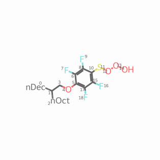 CCCCCCCCCCC(CCCCCCCC)COc1c(F)c(F)c(SOOO)c(F)c1F